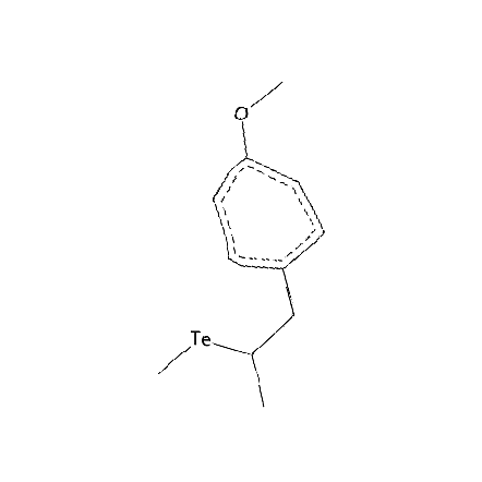 COc1ccc(CC(C)[Te]C)cc1